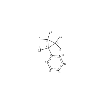 CC1(C)C(C)(C)C1(Cl)c1ccccn1